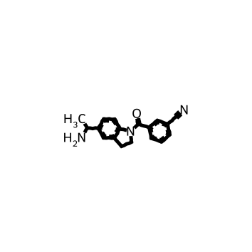 CC(N)c1ccc2c(c1)CCN2C(=O)c1cccc(C#N)c1